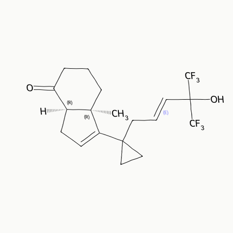 C[C@@]12CCCC(=O)[C@@H]1CC=C2C1(C/C=C/C(O)(C(F)(F)F)C(F)(F)F)CC1